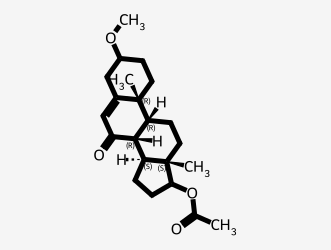 COC1CC[C@@]2(C)C(=CC(=O)[C@@H]3[C@H]2CC[C@]2(C)C(OC(C)=O)CC[C@@H]32)C1